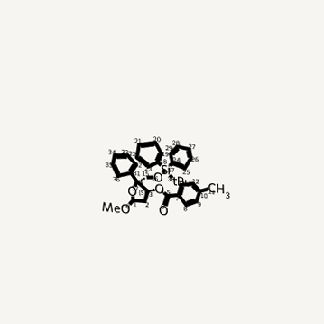 COC1C[C@H](OC(=O)c2ccc(C)cc2)[C@](CO[Si](c2ccccc2)(c2ccccc2)C(C)(C)C)(c2ccccc2)O1